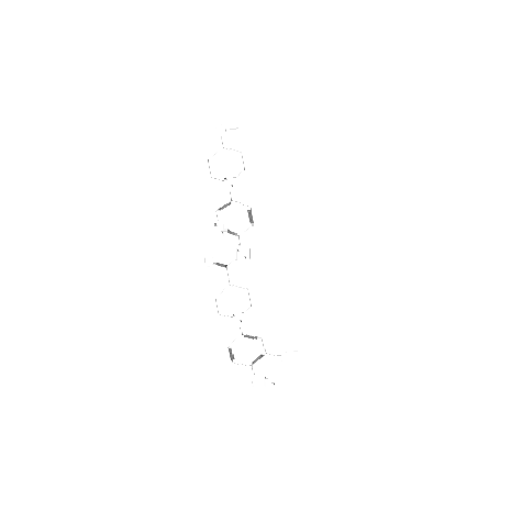 N#Cc1ccc(N2CCC(C(=O)Nc3ccc(N4CCC(O)CC4)cn3)CC2)cc1C(F)(F)F